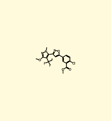 COC(=O)c1cc(-c2cc(-c3c(C(F)(F)F)c(OC)nn3C)no2)ccc1Cl